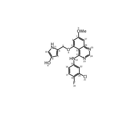 COc1cc(OCc2cc(O)c[nH]2)c2c(Nc3ccc(F)c(Cl)c3)ncnc2c1